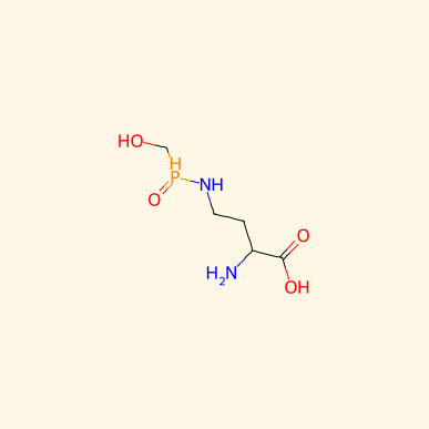 NC(CCN[PH](=O)CO)C(=O)O